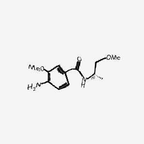 COC[C@H](C)NC(=O)c1ccc(N)c(OC)c1